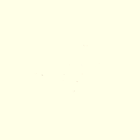 COCC(C)(C)C1Cc2cc(O[C@H]3C[C@H](OC)C3)c(OC)cc2-c2cc(=O)c(C(=O)O)cn21